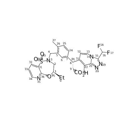 CC[C@@H]1CN(Cc2cc([C@@H](CC(=O)O)c3ccn4c(C(F)F)nnc4c3C)ccc2C)S(=O)(=O)c2cccnc2O1